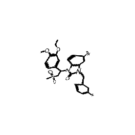 CCOc1cc(C(CS(C)(=O)=O)n2c(=O)n(CC3C=CC=C(F)C3)c3cc(Br)ccc32)ccc1OC